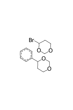 BrC1CCOCO1.c1ccc(C2CCOCO2)cc1